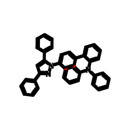 c1ccc(-c2cc(-c3ccccc3)n(-c3ccc(-c4ccccc4N(c4ccccc4)c4ccccc4)cc3)n2)cc1